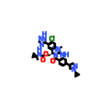 CNC(=N)N(C(=O)c1ccc(-c2cnn(C3CC3)c2)cc1)[C@H](COC(=O)NC1(C)CC1)c1ccc(Cl)c(-c2ncn[nH]2)c1